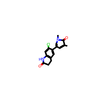 Cc1cc(-c2cc3c(cc2Cl)NC(=O)CC3)cn(C)c1=O